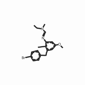 CCN(C)C=Nc1cc(OC)cc(Cc2ccc(Br)cc2)c1C